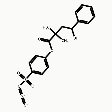 CC(C)(CC(Br)c1ccccc1)C(=O)Oc1ccc(S(=O)(=O)N=[N+]=[N-])cc1